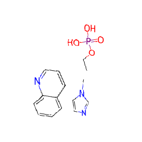 CCOP(=O)(O)O.Cn1ccnc1.c1ccc2ncccc2c1